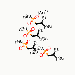 CCCCC(CC)CP(=O)([O-])CCCC.CCCCC(CC)CP(=O)([O-])CCCC.CCCCC(CC)CP(=O)([O-])CCCC.CCCCC(CC)CP(=O)([O-])CCCC.[Mo+4]